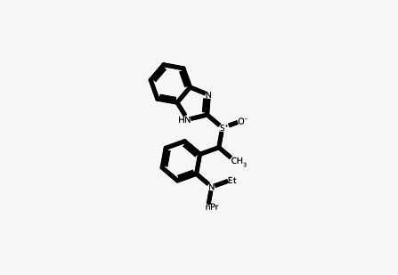 CCCN(CC)c1ccccc1C(C)[S+]([O-])c1nc2ccccc2[nH]1